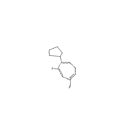 FC1=CCC=C(C2CCCC2)C(F)=C1